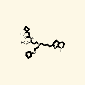 CC1(CC(=O)N[C@@H](CCN(CCCCc2ccc3c(n2)NCCC3)CCOc2ccccc2)C(=O)O)CCC1